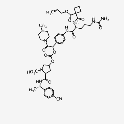 C=CCOC(=O)C1(C(=O)N[C@@H](CCCNC(N)=O)C(=O)Nc2ccc(C(OC(=O)OC3CC(C(=O)N[C@@H](C)c4ccc(C#N)cc4)N(C(=O)O)C3)C(=O)N3CCN(C)CC3)cc2)CCC1